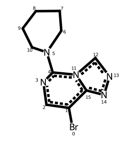 Brc1cnc(N2CCCCC2)n2cnnc12